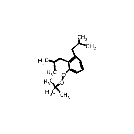 CC(C)Cc1cccc(OOC(C)(C)C)c1CC(C)C